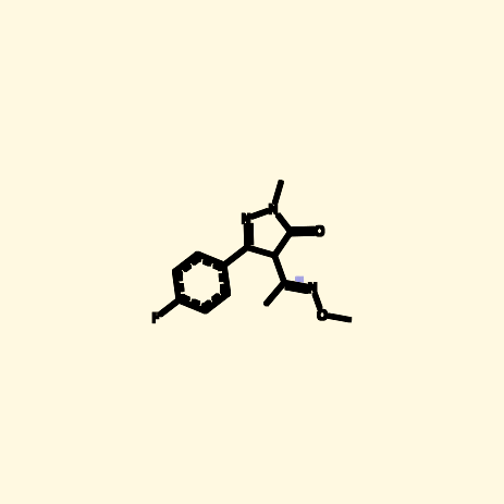 CO/N=C(\C)C1C(=O)N(C)N=C1c1ccc(F)cc1